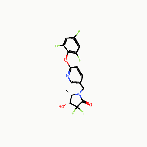 C[C@H]1[C@@H](O)C(F)(F)C(=O)N1Cc1ccc(Oc2c(F)cc(F)cc2F)nc1